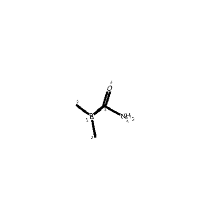 CB(C)C(N)=O